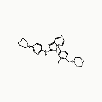 Fc1cc([N+]23C=CN=CC2=NC(Nc2ccc(N4CCOCC4)cc2)=N3)ccc1CN1CCOCC1